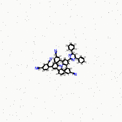 N#Cc1cccc(-c2cc(-c3nc(-c4ccccc4)cc(-c4ccccc4)n3)cc(-c3cccc(C#N)c3)c2-n2c3ccccc3c3cc(-c4ccc(C#N)cc4C#N)ccc32)c1